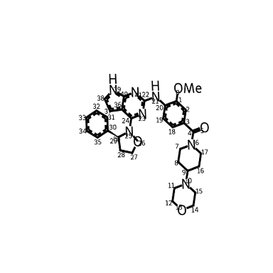 COc1cc(C(=O)N2CCC(N3CCOCC3)CC2)ccc1Nc1nc(N2OCC[C@H]2c2ccccc2)c2cc[nH]c2n1